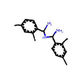 Cc1ccc(C(N)NC(N)c2ccc(C)cc2C)c(C)c1